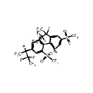 O=S(=O)(c1[c]c(Br)c(-c2c(Br)cc(C(F)(C(F)(F)F)C(F)(F)C(F)(F)F)cc2S(=O)(=O)C(F)(F)F)c(C(F)(C(F)(F)F)C(F)(F)C(F)(F)F)c1)C(F)(F)F